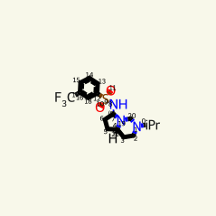 CC(C)N1CC[C@@H]2CC[C@H](NS(=O)(=O)c3cccc(C(F)(F)F)c3)N2C1